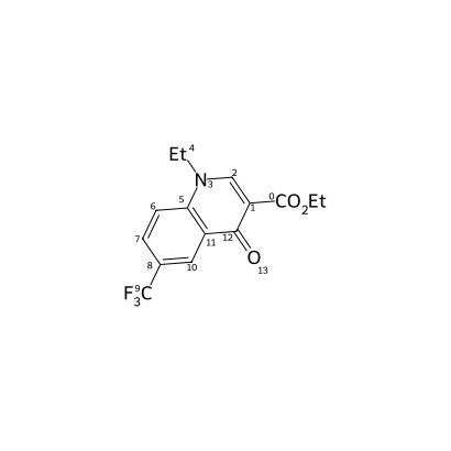 CCOC(=O)c1cn(CC)c2ccc(C(F)(F)F)cc2c1=O